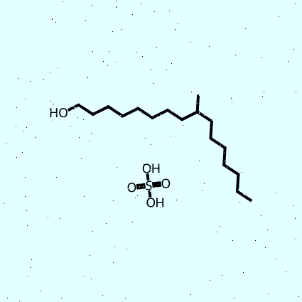 CCCCCCCC(C)CCCCCCCCO.O=S(=O)(O)O